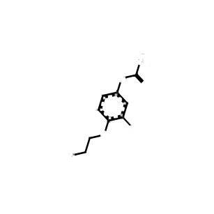 NCCOc1ccc(OC(N)=O)cc1F